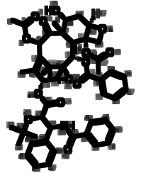 CC(=O)O[C@H]1C(=O)[C@@]2(C)[C@H]([C@H](OC(=O)c3ccccc3)[C@]3(O)C[C@H](OC(=O)[C@H](OC(C)(C)C)[C@@H](NC(=O)c4ccccc4)c4ccccc4)C(C)=C1C3(C)C)[C@]1(OC(C)=O)CO[C@@H]1C[C@@H]2O